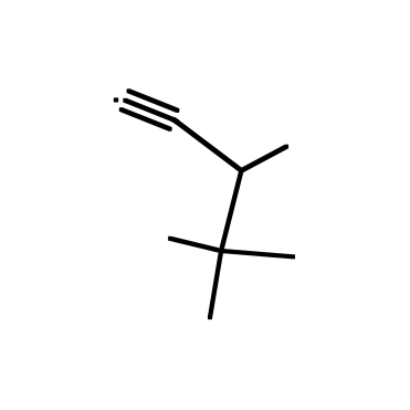 [C]#CC(C)C(C)(C)C